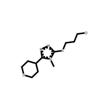 Cn1c(SCCCCl)nnc1C1CCOCC1